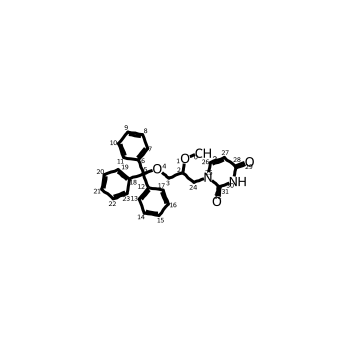 COC(COC(c1ccccc1)(c1ccccc1)c1ccccc1)Cn1ccc(=O)[nH]c1=O